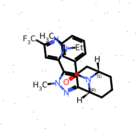 CCn1nc(C(F)(F)F)cc1-c1c2c(nn1C)[C@H]1CCC[C@@H](C2)N1C(=O)c1cccc(C)c1